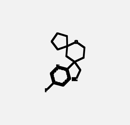 N#CCC1(c2ccc(F)cn2)CCOC2(CCCC2)C1